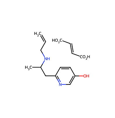 C=CCNC(C)Cc1ccc(O)cn1.O=C(O)C=CC(=O)O